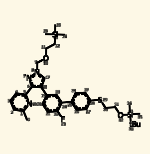 Cc1cccc(-c2nn(COCC[Si](C)(C)C)cc2-c2ccc(F)c(-c3ccc(SCCO[Si](C)(C)C(C)(C)C)cc3)c2)n1